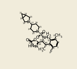 Cc1ccc(F)c([C@@H](C)[C@H](NS(=O)(=O)N2CCC(N3CC4CC4C3)CC2)c2n[nH]c(=O)o2)c1C